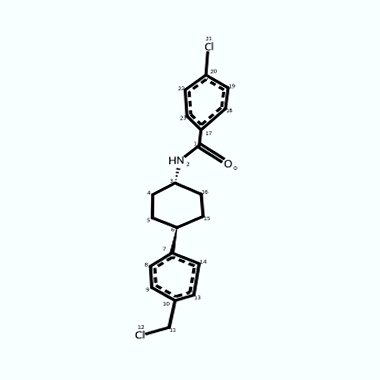 O=C(N[C@H]1CC[C@H](c2ccc(CCl)cc2)CC1)c1ccc(Cl)cc1